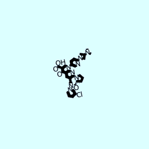 CN(C)C1CN(c2ccc(-n3cc(C(=O)O)c(=O)c4cc(C#N)c(N5CCC[C@@H]5COc5ncccc5Cl)nc43)cn2)C1